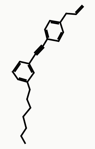 C=CCc1ccc(C#Cc2c[c]cc(CCCCCCC)c2)cc1